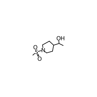 CC(O)C1CCN(S(C)(=O)=O)CC1